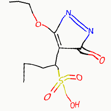 CCOC1=C(C(CC)S(=O)(=O)O)C(=O)N=N1